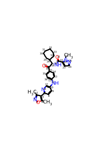 Cc1noc(C)c1-c1ccc(Nc2ccc(C(=O)[C@@H](NC(=O)c3ccnn3C)C3CCCCCC3)cc2)cn1